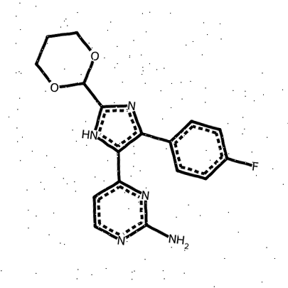 Nc1nccc(-c2[nH]c(C3OCCCO3)nc2-c2ccc(F)cc2)n1